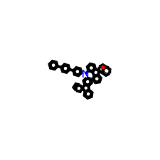 c1ccc(-c2ccc(-c3ccc(N(c4ccc5c(c4)C4(CC6CCC4C6)c4ccccc4-5)c4cccc5c4-c4ccccc4C54C5CCC6CC(C5)CC4C6)cc3)cc2)cc1